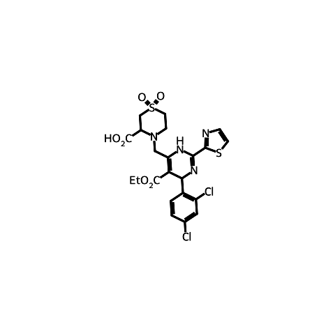 CCOC(=O)C1=C(CN2CCS(=O)(=O)CC2C(=O)O)NC(c2nccs2)=NC1c1ccc(Cl)cc1Cl